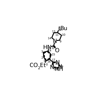 CCOC(=O)c1ccc(NC(=O)N2CCC(C(C)(C)C)CC2)cc1-c1nn[nH]n1